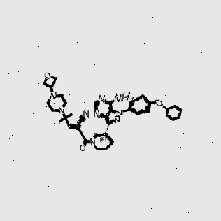 CC(C)(C=C(C#N)C(=O)N1CCC[C@@H](c2nn(-c3ccc(Oc4ccccc4)cc3)c3c(N)ncnc23)C1)N1CCN(C2COC2)CC1